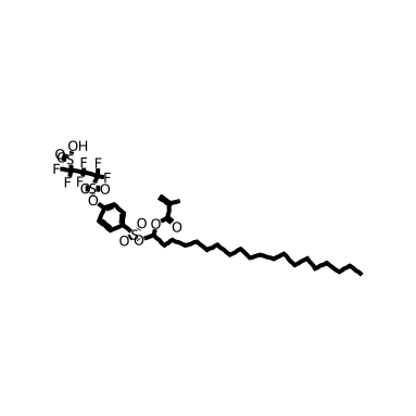 C=C(C)C(=O)OC(CCCCCCCCCCCCCCCCCCC)OS(=O)(=O)c1ccc(OS(=O)(=O)C(F)(F)C(F)(F)C(F)(F)S(=O)(=O)O)cc1